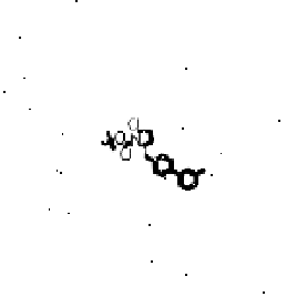 Cc1cccc(-c2ccc(C[C@@H]3CCC(=O)N3C(=O)OC(C)(C)C)cc2)c1